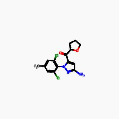 Nc1cc(C(=O)C2CCCO2)n(-c2c(Cl)cc(C(F)(F)F)cc2Cl)n1